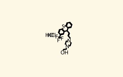 Cl.Cl.OCCN1CCN(CC=CC2c3ccccc3Sc3ccc(C(F)(F)F)cc32)CC1